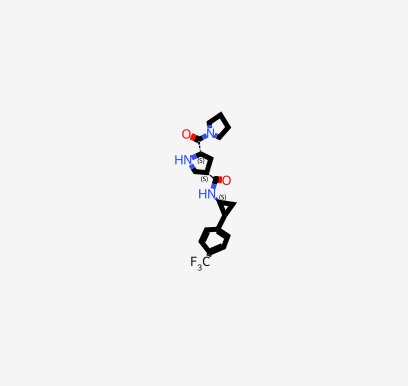 O=C(N[C@H]1CC1c1ccc(C(F)(F)F)cc1)[C@@H]1CN[C@H](C(=O)N2CCCC2)C1